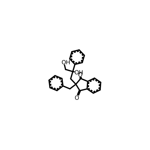 O=C1c2ccccc2C(=O)C1(Cc1ccccc1)CC(O)(CO)c1ccccc1